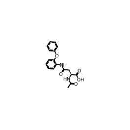 CC(=O)N[C@@H](CC(=O)Nc1ccccc1Oc1ccccc1)C(=O)O